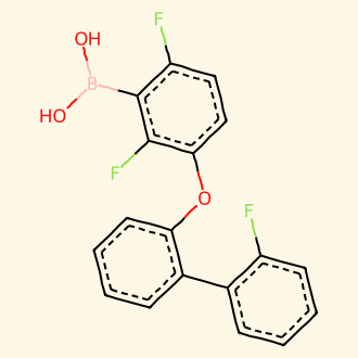 OB(O)c1c(F)ccc(Oc2ccccc2-c2ccccc2F)c1F